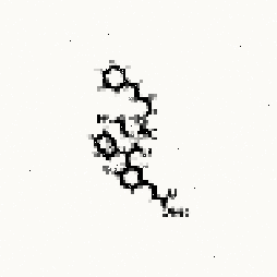 COC(=O)C=Cc1ccc(F)c(C(C(=O)N(CCO)C(=O)NCCCCC2CCCCC2)[C@H]2CC3CCC2O3)c1